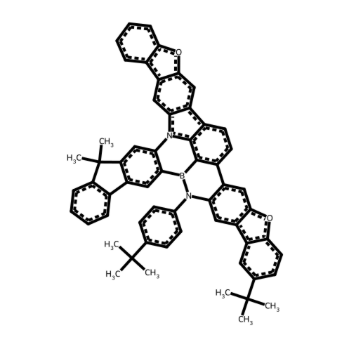 CC(C)(C)c1ccc(N2B3c4cc5c(cc4-n4c6cc7c(cc6c6ccc(c3c64)-c3cc4oc6ccc(C(C)(C)C)cc6c4cc32)oc2ccccc27)C(C)(C)c2ccccc2-5)cc1